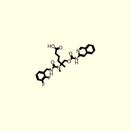 CN(C(=O)NCc1cccc(F)c1F)C(C)(CCCC(=O)O)COC(=O)Nc1cc2ccccc2cn1